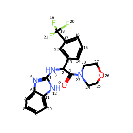 O=C(C(Nc1nc2ccccc2[nH]1)c1cccc(C(F)(F)F)c1)N1CCOCC1